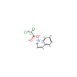 O=C(O[n+]1cccc2ccccc21)C(Cl)Cl